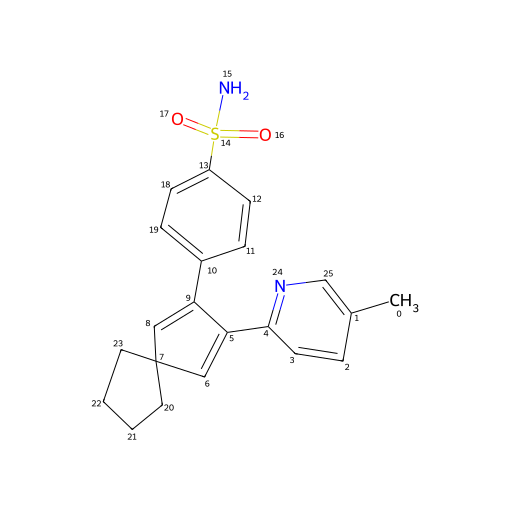 Cc1ccc(C2=CC3(C=C2c2ccc(S(N)(=O)=O)cc2)CCCC3)nc1